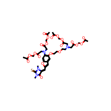 CC(=O)OCOC(=O)CN(CCOCCOc1cc2cc(C=C3C(=O)N(C)C(=S)N3C)oc2cc1N(CC(=O)OCOC(C)=O)CC(=O)OCOC(C)=O)CC(=O)OCOC(C)=O